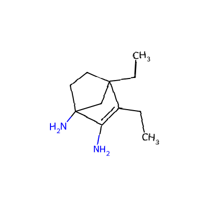 CCC1=C(N)C2(N)CCC1(CC)C2